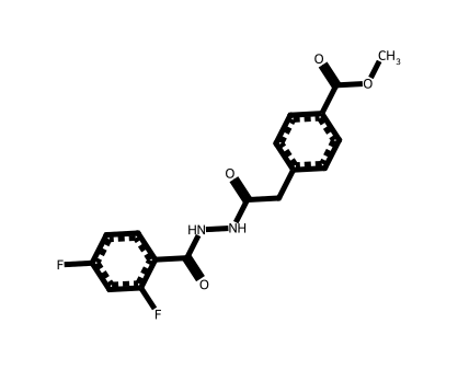 COC(=O)c1ccc(CC(=O)NNC(=O)c2ccc(F)cc2F)cc1